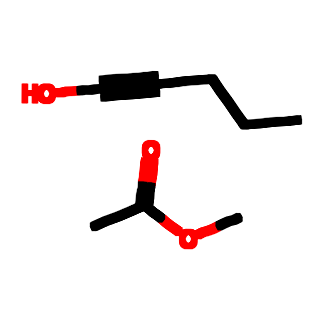 CCCC#CO.COC(C)=O